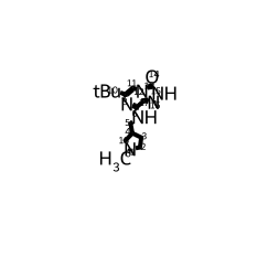 CN1CCC(CNc2nc(C(C)(C)C)cn3c(=O)[nH]nc23)C1